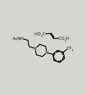 CC(=O)NCCN1CCN(c2cccc(C(F)(F)F)c2)CC1.O=C(O)C=CC(=O)O